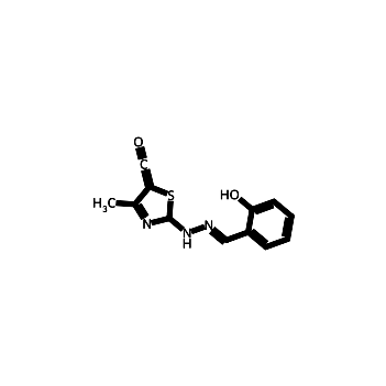 CC1=NC(NN=Cc2ccccc2O)SC1=C=O